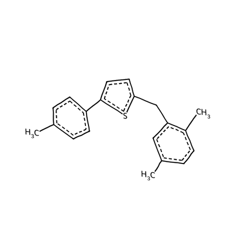 Cc1ccc(-c2ccc(Cc3cc(C)ccc3C)s2)cc1